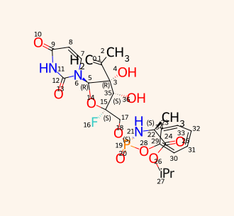 C=C(C)[C@]1(O)[C@H](n2ccc(=O)[nH]c2=O)O[C@](F)(CO[P@@](=O)(N[C@@H](C)C(=O)OC(C)C)Oc2ccccc2)[C@H]1O